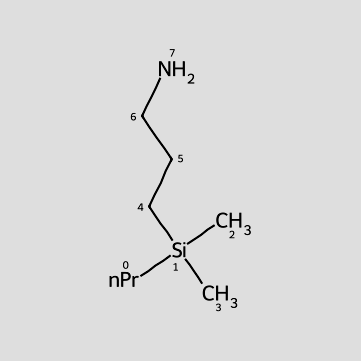 CCC[Si](C)(C)CCCN